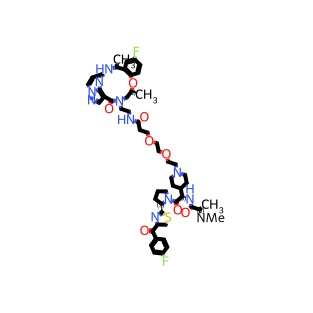 CN[C@@H](C)C(=O)N[C@H](C(=O)N1CCC[C@H]1C1=NC(C(=O)c2ccc(F)cc2)CS1)C1CCN(CCOCCOCCC(=O)NCCN2C[C@H](C)Oc3ccc(F)cc3C(C)Nc3ccn4ncc(c4n3)C2=O)CC1